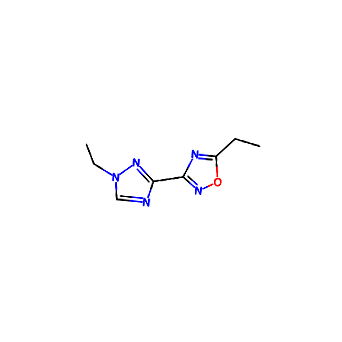 CCc1nc(-c2ncn(CC)n2)no1